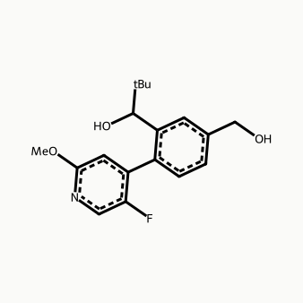 COc1cc(-c2ccc(CO)cc2C(O)C(C)(C)C)c(F)cn1